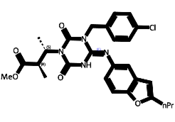 CCCc1cc2cc(/N=c3\[nH]c(=O)n([C@@H](C)[C@@H](C)C(=O)OC)c(=O)n3Cc3ccc(Cl)cc3)ccc2o1